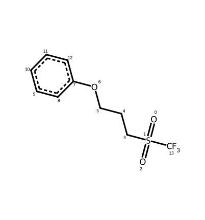 O=S(=O)(CCCOc1ccccc1)C(F)(F)F